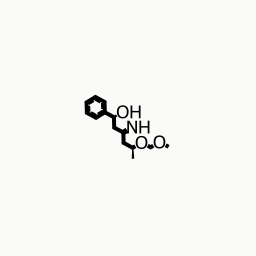 COCO[C@@H](C)CC(=N)C[C@H](O)c1ccccc1